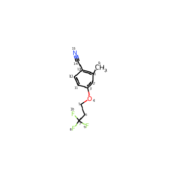 Cc1cc(OCCC(F)(F)F)ccc1C#N